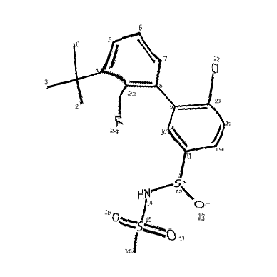 CC(C)(C)c1cccc(-c2cc([S+]([O-])NS(C)(=O)=O)ccc2Cl)c1F